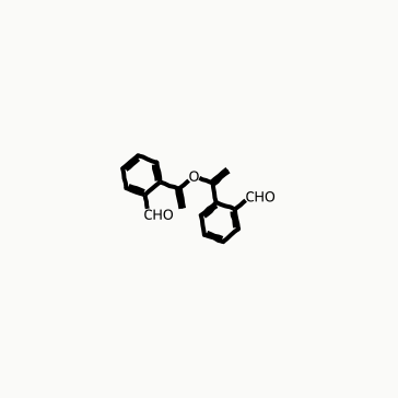 C=C(OC(=C)c1ccccc1C=O)c1ccccc1C=O